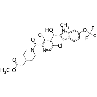 COC(=O)CC1CCN(C(=O)c2ncc(Cl)c(C(O)c3cc4ccc(OC(F)(F)F)cc4n3C)c2Cl)CC1